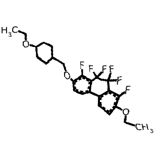 CCOc1ccc2c(c1F)C(F)(F)C(F)(F)c1c-2ccc(OCC2CCC(OCC)CC2)c1F